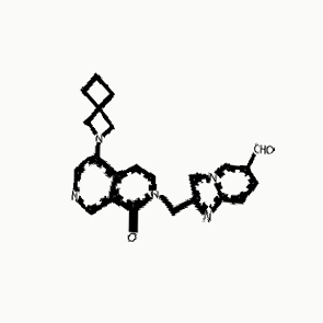 O=Cc1ccc2nc(Cn3ccc4c(N5CC6(CCC6)C5)cncc4c3=O)cn2c1